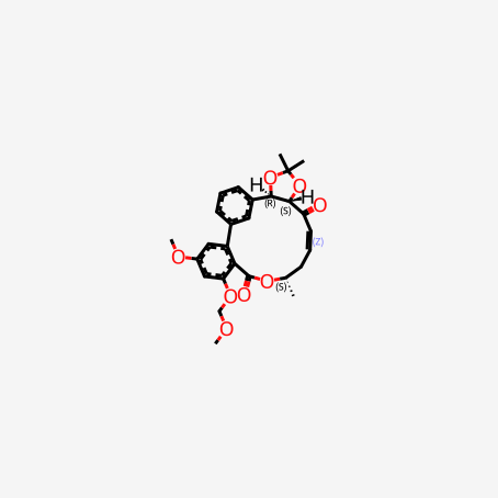 COCOc1cc(OC)cc2c1C(=O)O[C@@H](C)C/C=C\C(=O)[C@H]1OC(C)(C)O[C@@H]1c1cccc-2c1